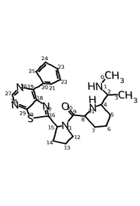 CNC(C)C1CCCC(C(=O)N2CCCC2c2nc3c(-c4ccccc4)ncnc3s2)N1